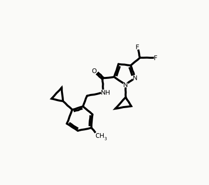 Cc1ccc(C2CC2)c(CNC(=O)c2cc(C(F)F)nn2C2CC2)c1